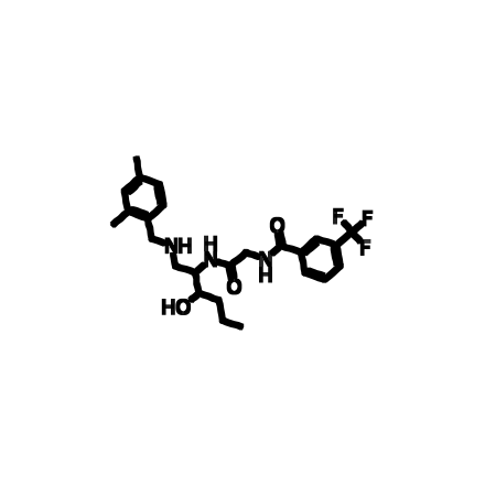 CCCC(O)C(CNCc1ccc(C)cc1C)NC(=O)CNC(=O)c1cccc(C(F)(F)F)c1